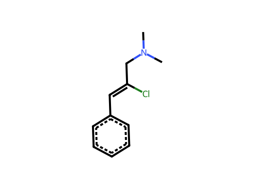 CN(C)CC(Cl)=Cc1ccccc1